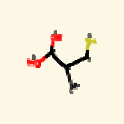 CC(C)C(CS)C(O)O